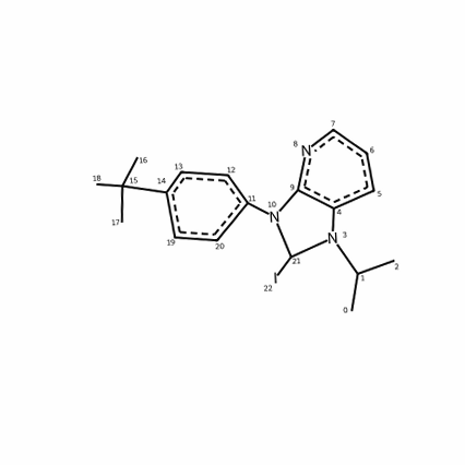 CC(C)N1c2cccnc2N(c2ccc(C(C)(C)C)cc2)C1I